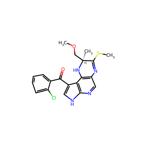 COC[C@]1(C)Nc2c(cnc3[nH]cc(C(=O)c4ccccc4Cl)c23)N=C1SC